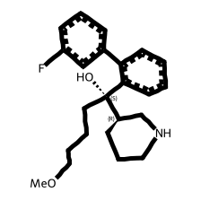 COCCCC[C@@](O)(c1ccccc1-c1cccc(F)c1)[C@@H]1CCCNC1